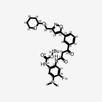 CN(C)c1cc(NC(=O)OC(C)(C)C)c(NC(=O)CC(=O)c2cccc(-c3cc(COC4CCCCO4)no3)c2)cc1F